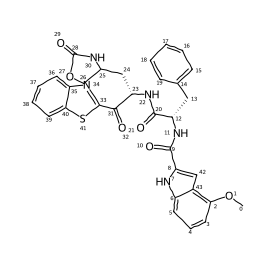 COc1cccc2[nH]c(C(=O)N[C@@H](Cc3ccccc3)C(=O)N[C@@H](CC3COC(=O)N3)C(=O)c3nc4ccccc4s3)cc12